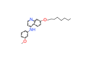 CCCCCCCCOc1ccc2c(Nc3cccc(OC)c3)ccnc2c1